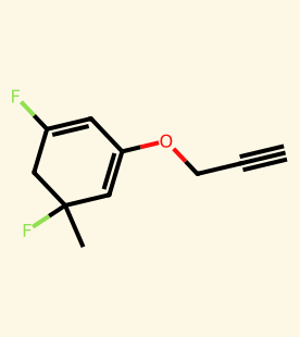 C#CCOC1=CC(C)(F)CC(F)=C1